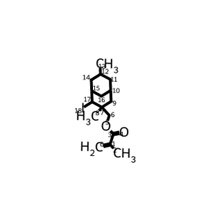 C=C(C)C(=O)OCC1(C)CC2CC(C)CC(C2)C1I